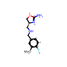 COc1cc(CNC[C@H]2COC(N)=N2)ccc1F